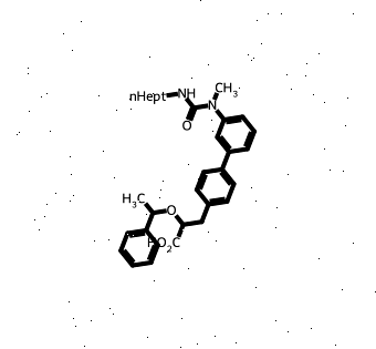 CCCCCCCNC(=O)N(C)c1cccc(-c2ccc(CC(OC(C)c3ccccc3)C(=O)O)cc2)c1